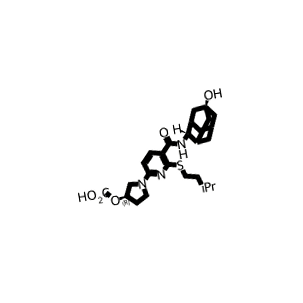 CC(C)CCSc1nc(N2CC[C@@H](OC(=O)O)C2)ccc1C(=O)N[C@H]1C2CC3CC1C[C@@](O)(C3)C2